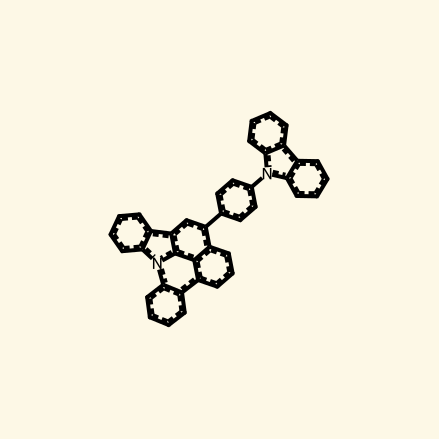 c1cc2c(-c3ccc(-n4c5ccccc5c5ccccc54)cc3)cc3c4ccccc4n4c5ccccc5c(c1)c2c34